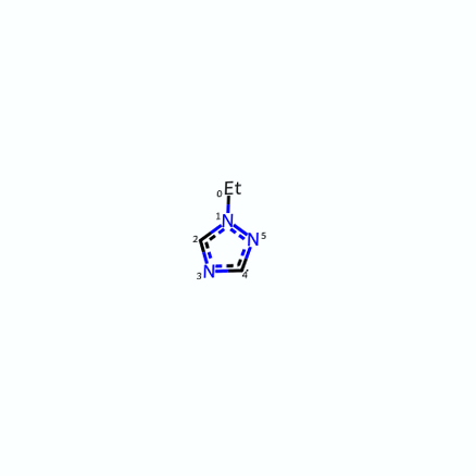 CCn1cn[c]n1